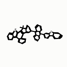 CC1(C)c2ccc(-c3c4ccccc4c(-c4ccc5c(c4)oc4ccccc45)c4ccccc34)cc2-c2c1c1sc3ccccc3c1c1ccccc21